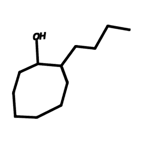 CCCCC1CCCCCCC1O